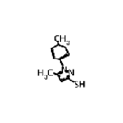 Cc1cc(S)nn1C1=CCC(C)C=C1